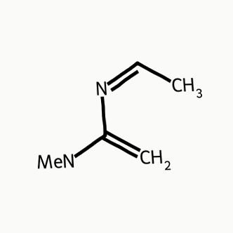 C=C(/N=C\C)NC